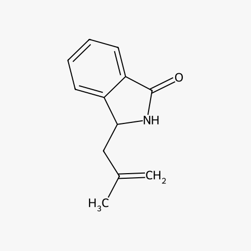 C=C(C)CC1NC(=O)c2ccccc21